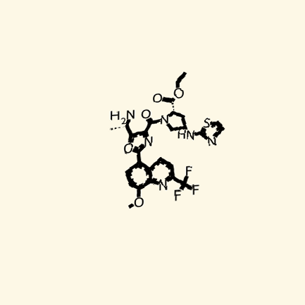 CCOC(=O)[C@@H]1C[C@H](Nc2nccs2)CN1C(=O)c1nc(-c2ccc(OC)c3nc(C(F)(F)F)ccc23)oc1[C@H](C)N